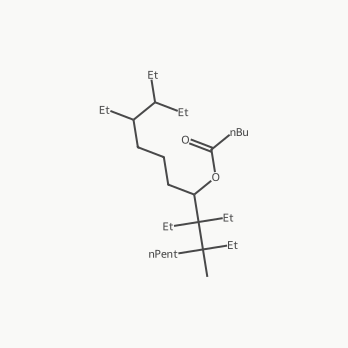 CCCCCC(C)(CC)C(CC)(CC)C(CCCC(CC)C(CC)CC)OC(=O)CCCC